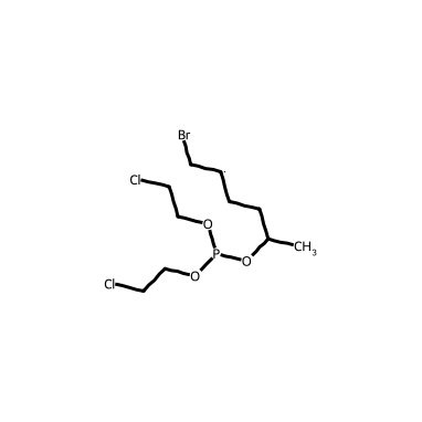 CC(CC[CH]CBr)OP(OCCCl)OCCCl